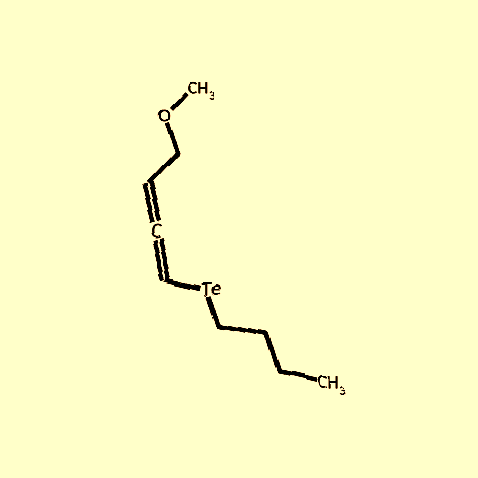 CCCC[Te]C=C=CCOC